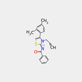 C#CCn1c(-c2ccc(C)cc2C)cs/c1=N\C(=O)c1ccccc1